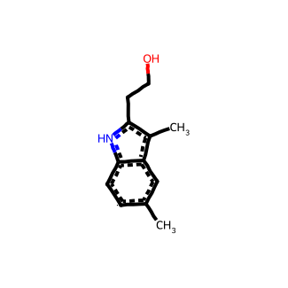 Cc1[c]cc2[nH]c(CCO)c(C)c2c1